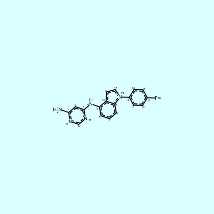 Nc1cc(Nc2cccc3c2ccn3-c2ccc(F)cc2)ncn1